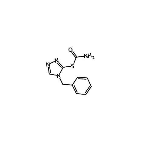 NC(=O)Sc1nncn1Cc1ccccc1